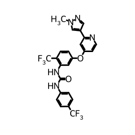 Cn1cc(-c2cc(Oc3ccc(C(F)(F)F)c(NC(=O)Nc4ccc(C(F)(F)F)cc4)c3)ccn2)cn1